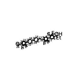 CCC(O)c1ccc(-c2ccc(CCC3CCC(C4CCC(c5ccc(C6CO6)c(F)c5F)CC4)CC3)c(F)c2F)c(F)c1F